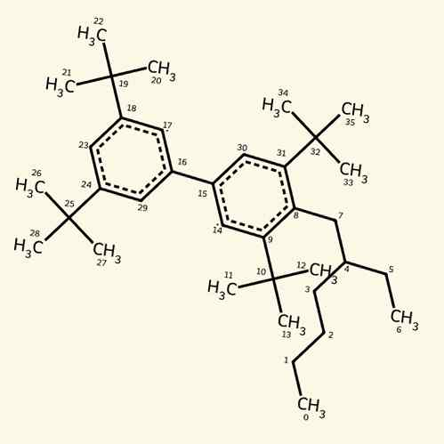 CCCCC(CC)Cc1c(C(C)(C)C)[c]c(-c2[c]c(C(C)(C)C)cc(C(C)(C)C)c2)cc1C(C)(C)C